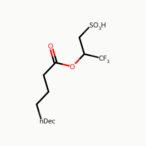 CCCCCCCCCCCCCC(=O)OC(CS(=O)(=O)O)C(F)(F)F